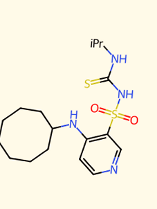 CC(C)NC(=S)NS(=O)(=O)c1cnccc1NC1CCCCCCC1